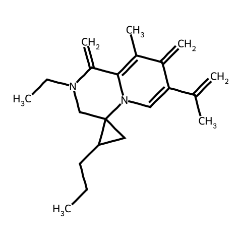 C=C(C)C1=CN2C(=C(C)C1=C)C(=C)N(CC)CC21CC1CCC